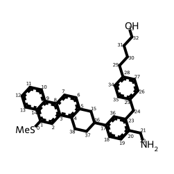 CSc1cc2c3c(ccc2c2ccccc12)CC(c1ccc(CN)c(Cc2ccc(CCCCO)cc2)c1)CC3